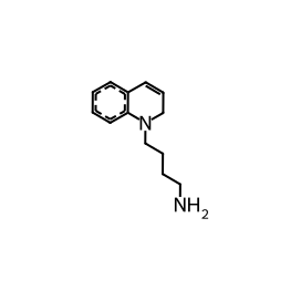 NCCCCN1CC=Cc2ccccc21